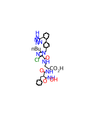 CCCCc1nc(Cl)c(C(=O)NCC[C@H](NC(=O)C(Cc2ccccc2)C(=O)NO)C(=O)O)n1Cc1ccc(-c2ccccc2-c2nnn[nH]2)cc1